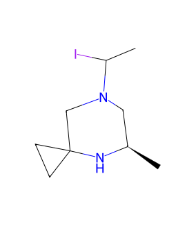 CC(I)N1C[C@@H](C)NC2(CC2)C1